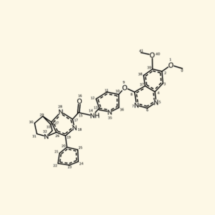 COc1cc2ncnc(Oc3ccc(NC(=O)c4nc(-c5ccccc5)c5c(n4)C4CCN5CC4)nc3)c2cc1OC